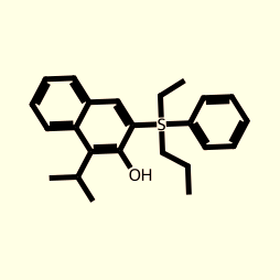 CCCS(CC)(c1ccccc1)c1cc2ccccc2c(C(C)C)c1O